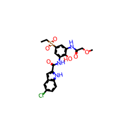 CCS(=O)(=O)c1cc(NC(=O)COC)c(O)c(NC(=O)c2cc3cc(Cl)ccc3[nH]2)c1